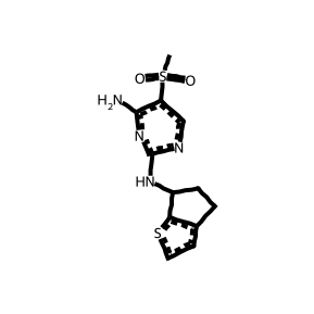 CS(=O)(=O)c1cnc(NC2CCc3ccsc32)nc1N